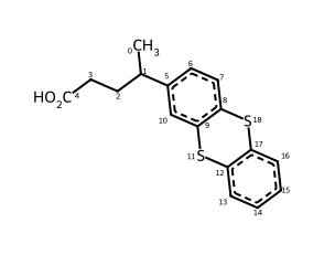 CC(CCC(=O)O)c1ccc2c(c1)Sc1ccccc1S2